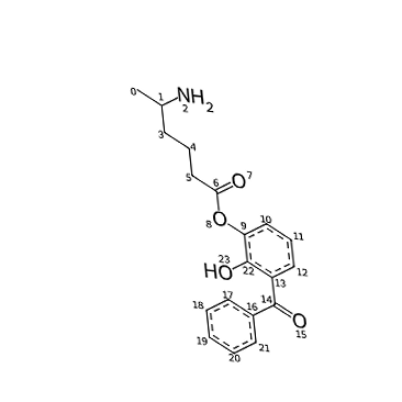 CC(N)CCCC(=O)Oc1cccc(C(=O)c2ccccc2)c1O